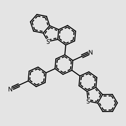 N#Cc1ccc(-c2cc(-c3ccc4c(c3)sc3ccccc34)c(C#N)c(-c3cccc4c3sc3ccccc34)c2)cc1